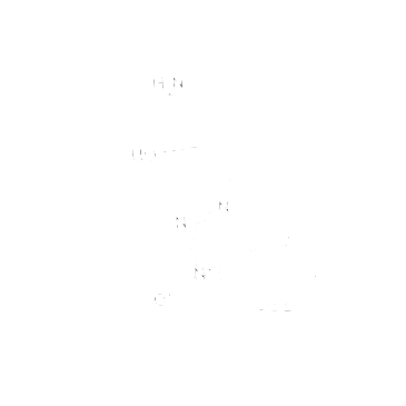 NCC(O)Cn1n[n+]([O-])c2ccccc21